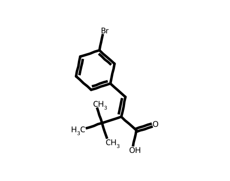 CC(C)(C)/C(=C\c1cccc(Br)c1)C(=O)O